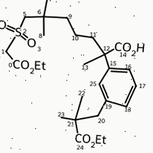 CCOC(=O)CS(=O)(=O)CC(C)(C)CCCC(C)(C(=O)O)c1cccc(CC(C)(C)C(=O)OCC)c1